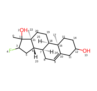 CC1(O)C(F)C[C@H]2[C@@H]3CC=C4CC(O)CC[C@]4(C)[C@@H]3CC[C@@]21C